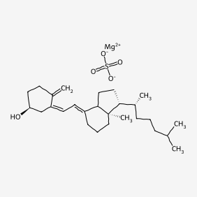 C=C1CC[C@H](O)C/C1=C/C=C1\CCC[C@@]2(C)C1CC[C@@H]2[C@H](C)CCCC(C)C.O=S(=O)([O-])[O-].[Mg+2]